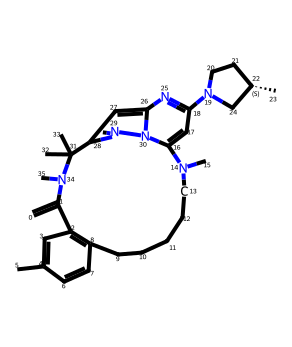 C=C1c2cc(C)ccc2CCCCCN(C)c2cc(N3CC[C@H](C)C3)nc3cc(nn23)C(C)(C)N1C